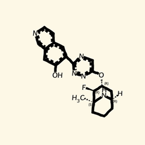 C[C@]12CCC[C@H](C[C@@H](Oc3cnc(-c4cc5ccncc5cc4O)nn3)[C@@H]1F)N2